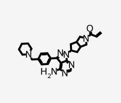 C=CC(=O)N1CC2CC(n3nc(-c4ccc(CN5CCCCC5)cc4)c4c(N)ncnc43)CC2C1